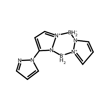 [BH2-]1n2c(-n3cccn3)cc[n+]2[BH2-]n2ccc[n+]21